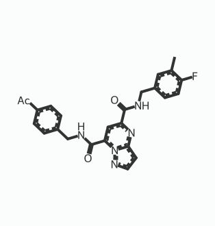 CC(=O)c1ccc(CNC(=O)c2cc(C(=O)NCc3ccc(F)c(C)c3)nc3ccnn23)cc1